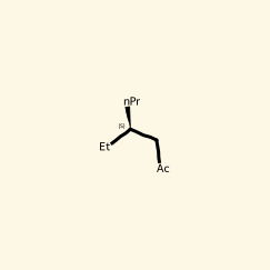 CCC[C@H](CC)CC(C)=O